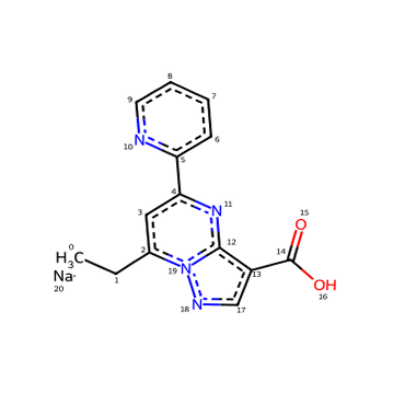 CCc1cc(-c2ccccn2)nc2c(C(=O)O)cnn12.[Na]